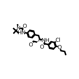 CCCOc1ccc(C(=O)N[C@H](CC=O)Cc2ccc(NC(=O)N(C)C(C)(C)C)cc2)cc1Cl